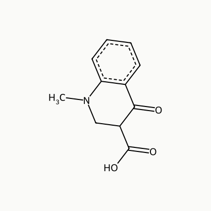 CN1CC(C(=O)O)C(=O)c2ccccc21